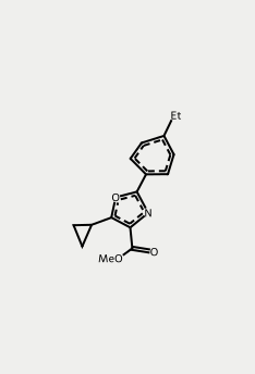 CCc1ccc(-c2nc(C(=O)OC)c(C3CC3)o2)cc1